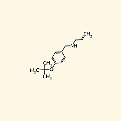 C=CCNCc1ccc(OC(C)(C)C)cc1